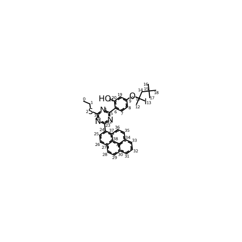 CCSc1nc(-c2ccc(OC(C)(I)CC(C)(C)C)cc2O)nc(-c2ccc3ccc4cccc5ccc2c3c45)n1